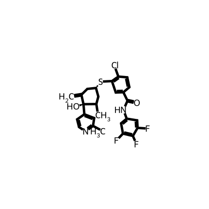 C=C1C[C@H](Sc2cc(C(=O)Nc3cc(F)c(F)c(F)c3)ccc2Cl)CC(C)[C@]1(O)c1ccnc(C)c1